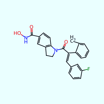 Cc1ccccc1C(=Cc1cccc(F)c1)C(=O)N1CCc2cc(C(=O)NO)ccc21